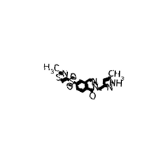 Cc1cc(Cn2ncc3cc(S(=O)(=O)c4csc(C)n4)ccc3c2=O)n[nH]1